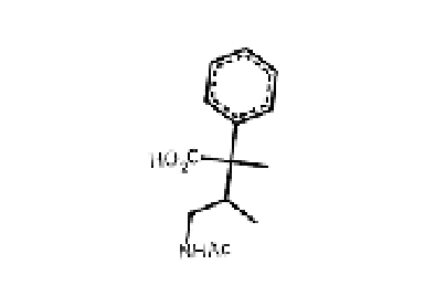 CC(=O)NCC(C)C(C)(C(=O)O)c1ccccc1